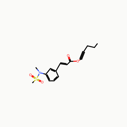 CCCC#COC(=O)/C=C/c1cccc(N(C)S(C)(=O)=O)c1